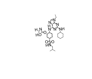 CCn1cnc2c(Nc3ccc(S(=O)(=O)NCC(C)C)cc3)nc(NC3CCCCC3)nc21.NC(=O)O